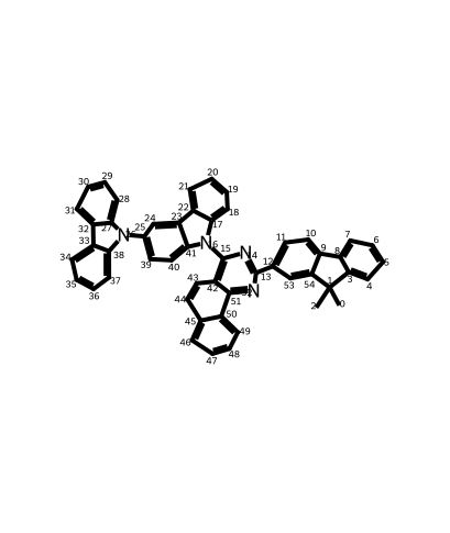 CC1(C)c2ccccc2-c2ccc(-c3nc(-n4c5ccccc5c5cc(-n6c7ccccc7c7ccccc76)ccc54)c4ccc5ccccc5c4n3)cc21